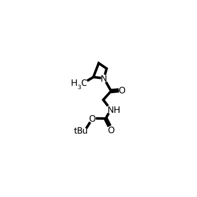 CC1CCN1C(=O)CNC(=O)OC(C)(C)C